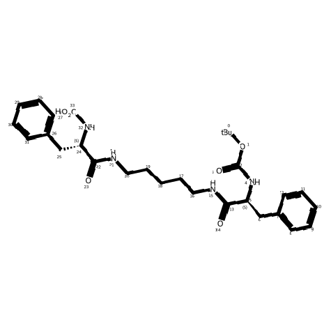 CC(C)(C)OC(=O)N[C@@H](Cc1ccccc1)C(=O)NCCCCCNC(=O)[C@H](Cc1ccccc1)NC(=O)O